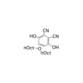 CCCCCCCCOCCCCCCCC.N#Cc1c(O)ccc(O)c1C#N